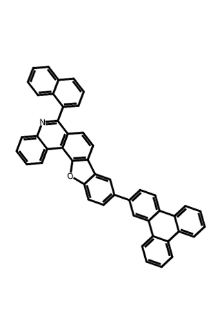 c1ccc2c(-c3nc4ccccc4c4c3ccc3c5cc(-c6ccc7c8ccccc8c8ccccc8c7c6)ccc5oc34)cccc2c1